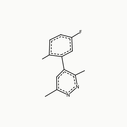 Cc1cc(-c2cc(F)ccc2C)c(C)nn1